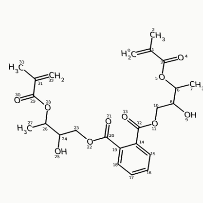 C=C(C)C(=O)OC(C)C(O)COC(=O)c1ccccc1C(=O)OCC(O)C(C)OC(=O)C(=C)C